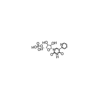 O=c1[nH]c(=O)n([C@@H]2O[C@H](COP(=O)(O)O)[C@@H](O)[C@H]2O)cc1-c1ccccn1